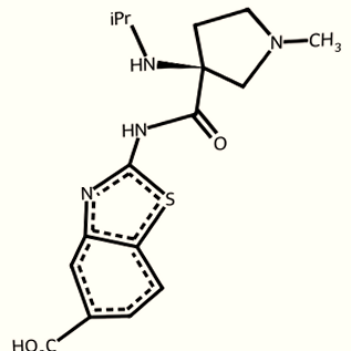 CC(C)N[C@@]1(C(=O)Nc2nc3cc(C(=O)O)ccc3s2)CCN(C)C1